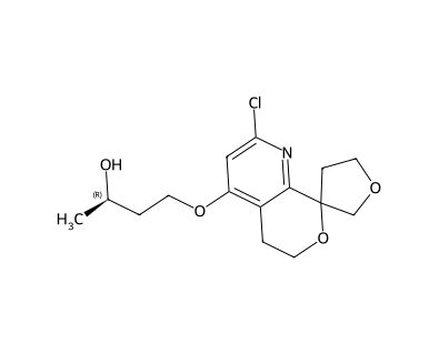 C[C@@H](O)CCOc1cc(Cl)nc2c1CCOC21CCOC1